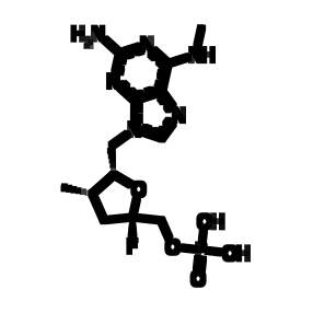 CNc1nc(N)nc2c1ncn2C[C@@H]1O[C@](F)(COP(=O)(O)O)C[C@@H]1C